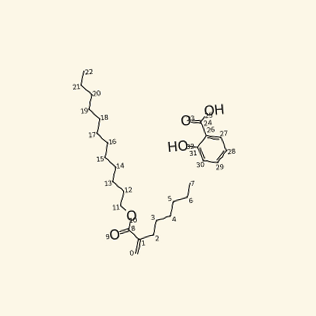 C=C(CCCCCC)C(=O)OCCCCCCCCCCCC.O=C(O)c1ccccc1O